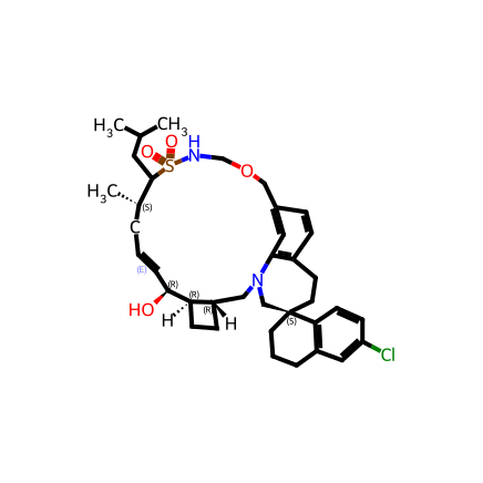 CC(C)CC1[C@@H](C)C/C=C/[C@H](O)[C@@H]2CC[C@H]2CN2C[C@@]3(CCCc4cc(Cl)ccc43)CCc3ccc(cc32)COCNS1(=O)=O